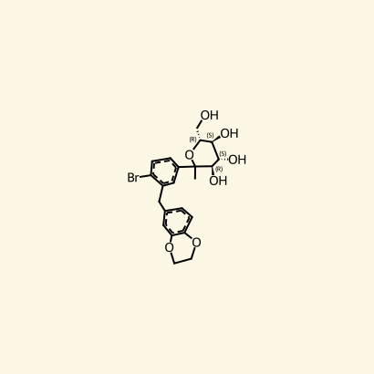 CC1(c2ccc(Br)c(Cc3ccc4c(c3)OCCO4)c2)O[C@H](CO)[C@@H](O)[C@H](O)[C@H]1O